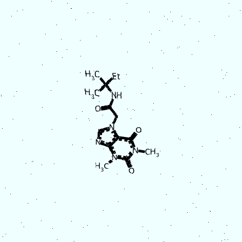 CCC(C)(C)NC(=O)Cn1cnc2c1c(=O)n(C)c(=O)n2C